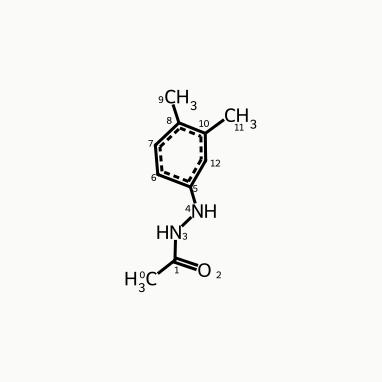 CC(=O)NNc1ccc(C)c(C)c1